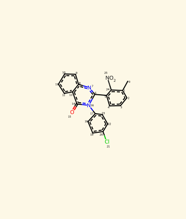 Cc1cccc(-c2nc3ccccc3c(=O)n2-c2ccc(Cl)cc2)c1[N+](=O)[O-]